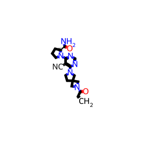 C=CC(=O)N1CC2(CCN(c3ncnc(N4CCC[C@H]4C(N)=O)c3C#N)C2)C1